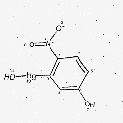 O=[N+]([O-])c1ccc(O)c[c]1[Hg][OH]